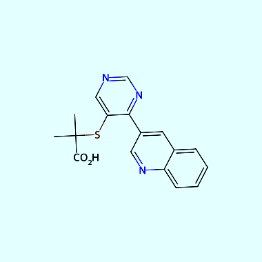 CC(C)(Sc1cncnc1-c1cnc2ccccc2c1)C(=O)O